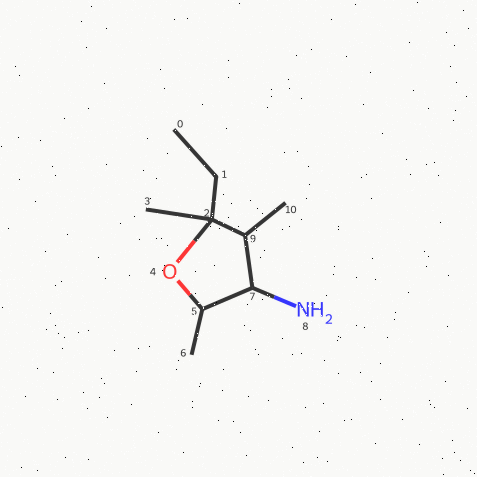 CCC1(C)OC(C)C(N)C1C